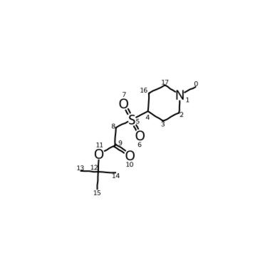 CN1CCC(S(=O)(=O)CC(=O)OC(C)(C)C)CC1